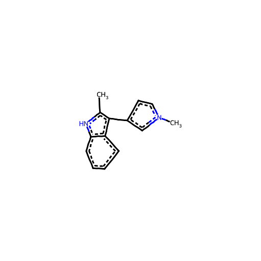 Cc1[nH]c2ccccc2c1-c1ccn(C)c1